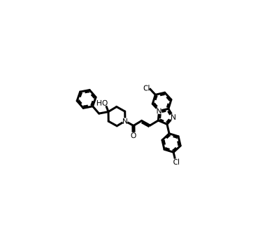 O=C(C=Cc1c(-c2ccc(Cl)cc2)nc2ccc(Cl)cn12)N1CCC(O)(Cc2ccccc2)CC1